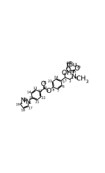 CN(CC(O)c1ccc(OC(=O)c2ccc(-n3cccn3)cc2)cc1)C(=O)OC(C)(C)C